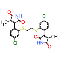 CC1=C(c2ccc(Cl)cc2SCCSc2cc(Cl)ccc2C2=C(C)C(=O)NC2=O)C(=O)NC1=O